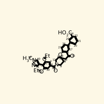 CCOc1cc(C(=O)N2CCC3(CC2)CC(=O)c2cc(-c4cccc(C(=O)O)c4)ccc2O3)cc(OCC)c1-c1cnn(C)c1